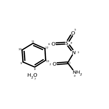 NC(=O)N=S(=O)=O.O.c1ccccc1